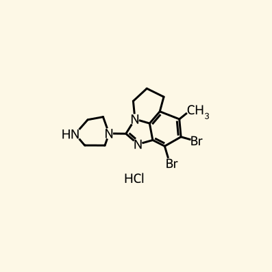 Cc1c(Br)c(Br)c2nc(N3CCNCC3)n3c2c1CCC3.Cl